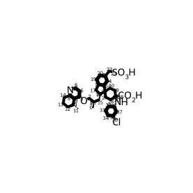 C[C@@H](COc1ccnc2c1[C@H](C)CCC2)C[C@H]1Cc2ccc(CS(=O)(=O)O)cc2C12CCC(Nc1cccc(Cl)c1)(C(=O)O)CC2